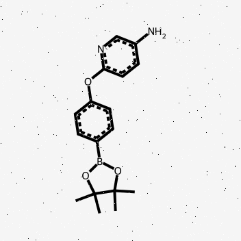 CC1(C)OB(c2ccc(Oc3ccc(N)cn3)cc2)OC1(C)C